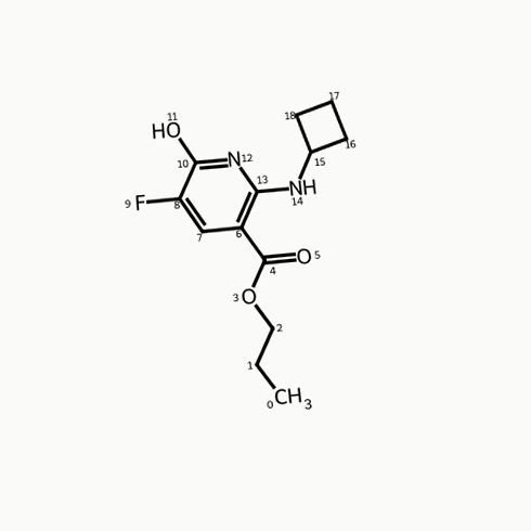 CCCOC(=O)c1cc(F)c(O)nc1NC1CCC1